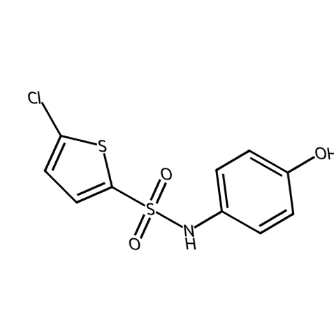 O=S(=O)(Nc1ccc(O)cc1)c1ccc(Cl)s1